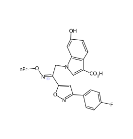 CCCO/N=C(\Cn1cc(C(=O)O)c2ccc(O)cc21)c1cc(-c2ccc(F)cc2)no1